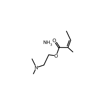 CC=C(C)C(=O)OCCN(C)C.N